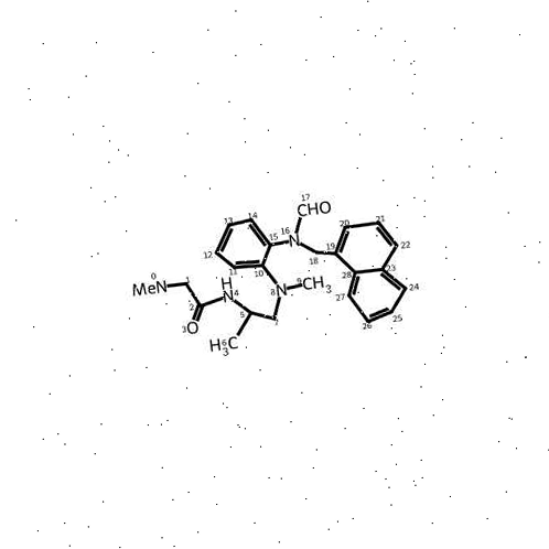 CNCC(=O)NC(C)CN(C)c1ccccc1N(C=O)Cc1cccc2ccccc12